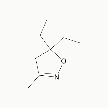 CCC1(CC)CC(C)=NO1